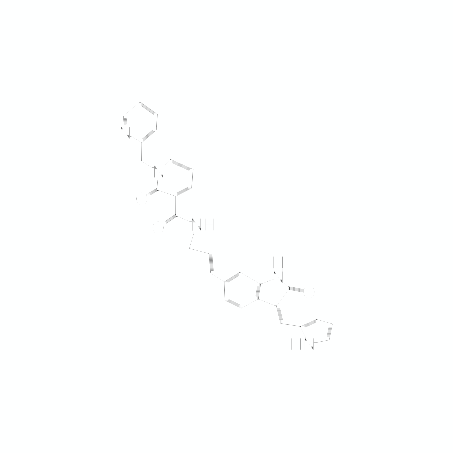 O=C1Nc2cc(C=CCNC(=O)c3cccn(Cc4ccccn4)c3=O)ccc2C1=Cc1ccc[nH]1